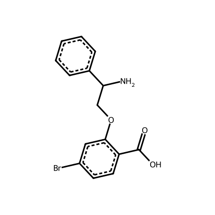 NC(COc1cc(Br)ccc1C(=O)O)c1ccccc1